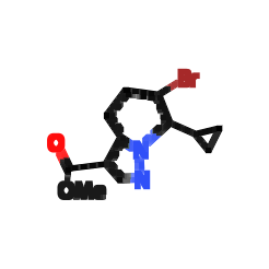 COC(=O)c1cnn2c(C3CC3)c(Br)ccc12